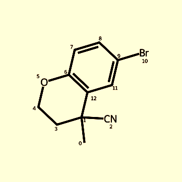 CC1(C#N)CCOc2ccc(Br)cc21